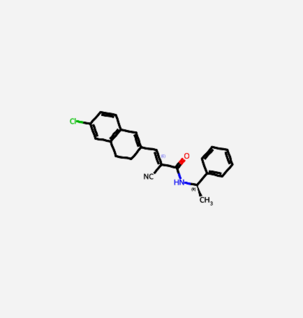 C[C@@H](NC(=O)/C(C#N)=C/C1=Cc2ccc(Cl)cc2CC1)c1ccccc1